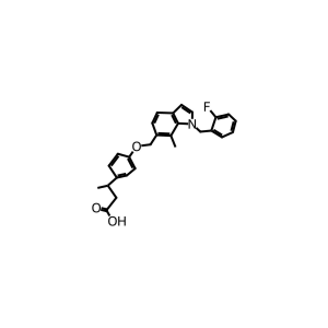 Cc1c(COc2ccc(C(C)CC(=O)O)cc2)ccc2ccn(Cc3ccccc3F)c12